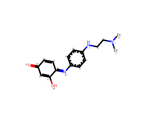 CCN(CC)CCNc1ccc(/N=C2\C=CC(=O)C=C2O)cc1